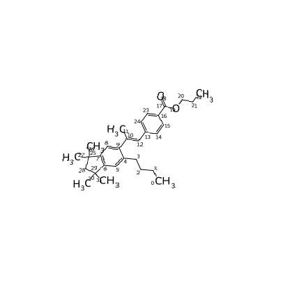 CCCCc1cc2c(cc1C(C)=Cc1ccc(C(=O)OCCC)cc1)C(C)(C)CC2(C)C